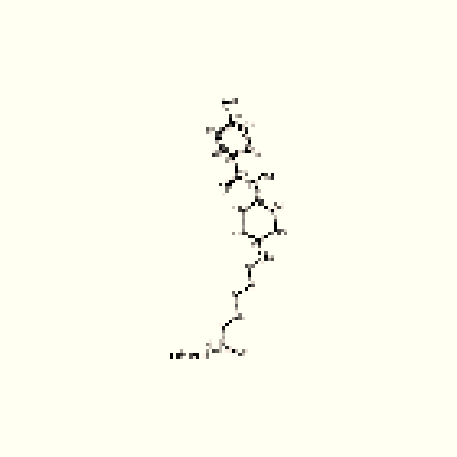 CCCCCN(C)CCCCCOC1CCC(N(C)C(=O)c2ccc(F)cc2)CC1